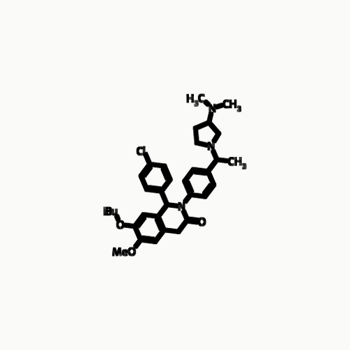 CCC(C)Oc1cc2c(cc1OC)CC(=O)N(c1ccc(C(C)N3CCC(N(C)C)C3)cc1)C2c1ccc(Cl)cc1